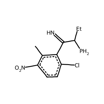 CCC(P)C(=N)c1c(Cl)ccc([N+](=O)[O-])c1C